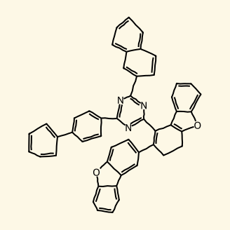 c1ccc(-c2ccc(-c3nc(C4=C(c5ccc6oc7ccccc7c6c5)CCc5oc6ccccc6c54)nc(-c4ccc5ccccc5c4)n3)cc2)cc1